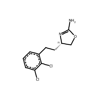 NC1=N[C@@H](CCc2cccc(Cl)c2Cl)CO1